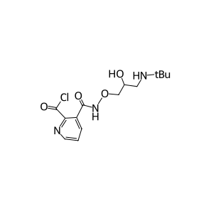 CC(C)(C)NCC(O)CONC(=O)c1cccnc1C(=O)Cl